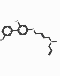 C=CCN(C)C/C=C/COc1ccc(-c2[c]ccc(Br)c2)c(O)c1